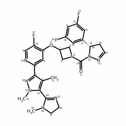 Cc1c(-c2cc(OC3CN(C(=O)N4N=CC[C@H]4c4cc(F)cc(F)c4)C3)c(F)cn2)nn(C)c1C1=NCCN1C